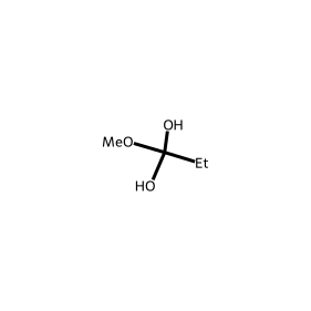 [CH2]OC(O)(O)CC